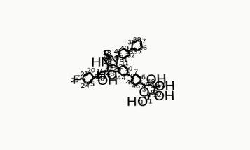 OCC1OC(c2ccc(-c3ccc(C4C(CCC(O)c5ccc(F)cc5)NC(=S)N4c4ccc(-c5ccccc5)cc4)c(O)c3)cc2)C(O)C(O)C1O